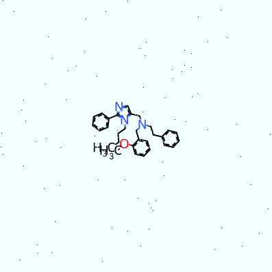 CCCCn1c(CN(CCc2ccccc2)Cc2ccccc2OC)cnc1-c1ccccc1